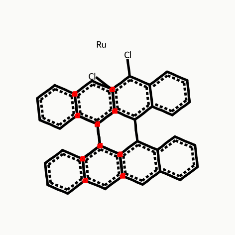 Clc1c(P(c2ccccc2)c2ccccc2)c(-c2c(P(c3ccccc3)c3ccccc3)ccc3ccccc23)c2ccccc2c1Cl.[Ru]